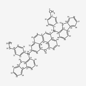 Cc1ccc(N(c2cc3ccc4cc(N(c5ccc(SC(C)C)cc5)c5cccc6c5sc5ccccc56)cc5c4c3c3c(cccc23)O5)c2cccc3c2sc2ccccc23)cc1